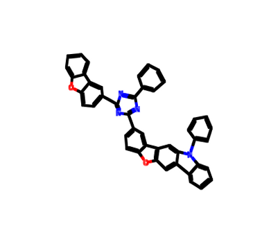 c1ccc(-c2nc(-c3ccc4oc5ccccc5c4c3)nc(-c3ccc4oc5cc6c7ccccc7n(-c7ccccc7)c6cc5c4c3)n2)cc1